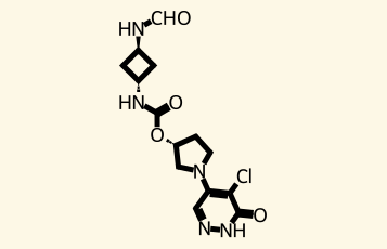 O=CN[C@H]1C[C@H](NC(=O)O[C@@H]2CCN(c3cn[nH]c(=O)c3Cl)C2)C1